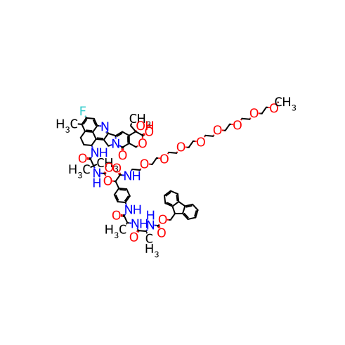 CC[C@@]1(O)C(=O)OCc2c1cc1n(c2=O)Cc2c-1nc1cc(F)c(C)c3c1c2[C@@H](NC(=O)C(C)(C)NC(=O)OC(C(=O)NCCOCCOCCOCCOCCOCCOCCOCCOC)c1ccc(NC(=O)[C@H](C)NC(=O)[C@H](C)NC(=O)OCC2c4ccccc4-c4ccccc42)cc1)CC3